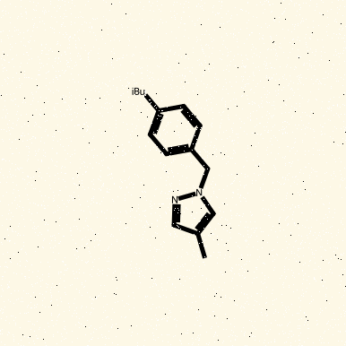 CCC(C)c1ccc(Cn2cc(C)cn2)cc1